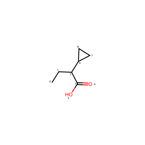 CCC(C(=O)O)C1CC1